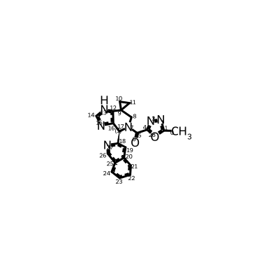 Cc1nnc(C(=O)N2CC3(CC3)c3[nH]cnc3[C@@H]2c2cc3ccccc3cn2)o1